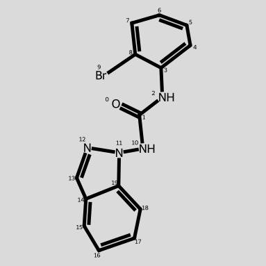 O=C(Nc1ccccc1Br)Nn1ncc2ccccc21